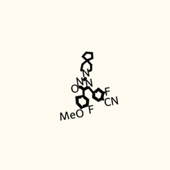 COc1ccc(-c2c(-c3ccc(C#N)c(F)c3)nc(N3CCC4(CCCC4)CC3)n(C)c2=O)cc1F